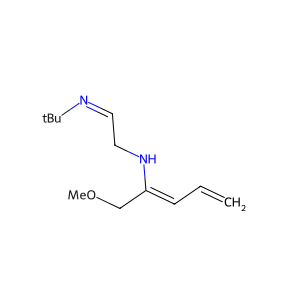 C=C/C=C(/COC)NC/C=N\C(C)(C)C